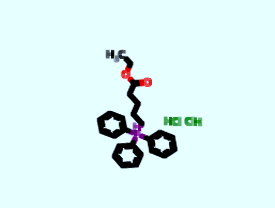 CCOC(=O)CCCC[PH](c1ccccc1)(c1ccccc1)c1ccccc1.Cl.Cl